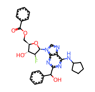 O=C(OC[C@H]1O[C@@H](n2cnc3c(NC4CCCC4)nc(C(O)c4ccccc4)nc32)[C@@H](F)[C@@H]1O)c1ccccc1